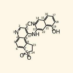 N#Cc1cnc2ccc3c(c2c1Nc1ccc2cccc(O)c2c1)CCS3(=O)=O